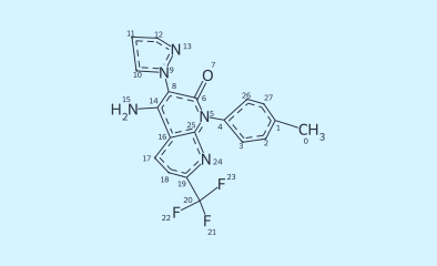 Cc1ccc(-n2c(=O)c(-n3cccn3)c(N)c3ccc(C(F)(F)F)nc32)cc1